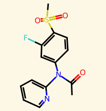 CC(=O)N(c1ccc(S(C)(=O)=O)c(F)c1)c1ccccn1